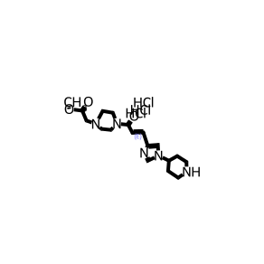 COC(=O)CN1CCN(C(=O)/C=C/c2cn(C3CCNCC3)cn2)CC1.Cl.Cl.Cl